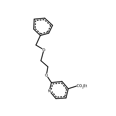 CCOC(=O)c1ccnc(OCCOCc2ccccc2)c1